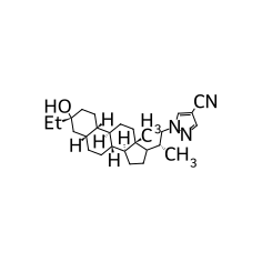 CC[C@@]1(O)CC[C@H]2[C@H](CC[C@@H]3[C@@H]2CC[C@]2(C)C([C@@H](C)Cn4cc(C#N)cn4)CC[C@@H]32)C1